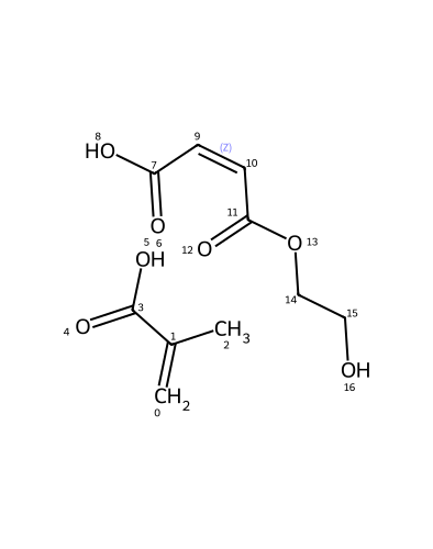 C=C(C)C(=O)O.O=C(O)/C=C\C(=O)OCCO